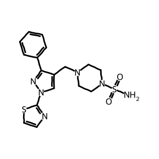 NS(=O)(=O)N1CCN(Cc2cn(-c3nccs3)nc2-c2ccccc2)CC1